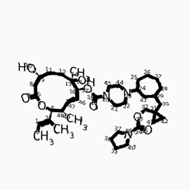 C/C=C(\C)[C@H]1OC(=O)C[C@H](O)CC[C@@](C)(O)[C@@H](OC(=O)N2CCN(C3CCCCC(CC4(COC(=O)N5CCCC5)CC4)C3)CC2)/C=C/[C@@H]1C